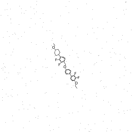 CCOc1ccc(-c2ccc(OCc3ccc(C4CCC(OCC)CC4)c(F)c3F)cc2)c(F)c1F